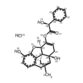 CN1CC[C@]23c4c5ccc(O)c4O[C@H]2C(OC(=O)[C@@H](O)c2ccccc2)=CC[C@]3(O)C1C5.Cl